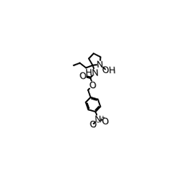 CCCC1(NC(=O)OCc2ccc([N+](=O)[O-])cc2)CCCN1O